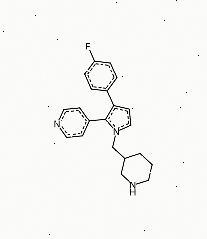 Fc1ccc(-c2ccn(CC3CCCNC3)c2-c2ccncc2)cc1